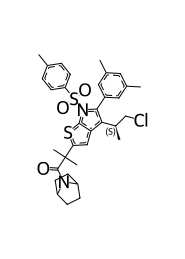 Cc1ccc(S(=O)(=O)n2c(-c3cc(C)cc(C)c3)c([C@H](C)CCl)c3cc(C(C)(C)C(=O)N4C5CCC4CC5)sc32)cc1